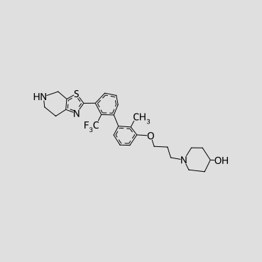 Cc1c(OCCCN2CCC(O)CC2)cccc1-c1cccc(-c2nc3c(s2)CNCC3)c1C(F)(F)F